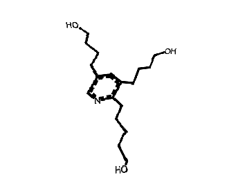 OCCCCCc1ncc(CCCCO)cc1CCCCO